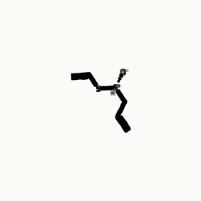 C=CC[S@@+]([O-])SC=C